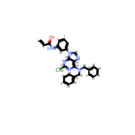 C=CC(=O)Nc1cccc(-n2cnc3c(N(Cc4ccccc4)Cc4ccccc4)nc(Cl)nc32)c1